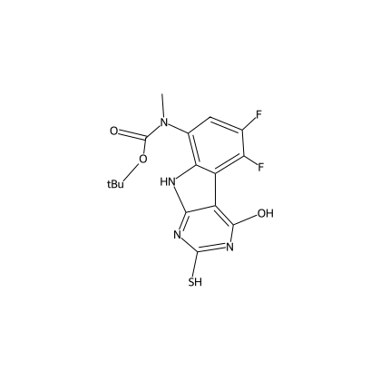 CN(C(=O)OC(C)(C)C)c1cc(F)c(F)c2c1[nH]c1nc(S)nc(O)c12